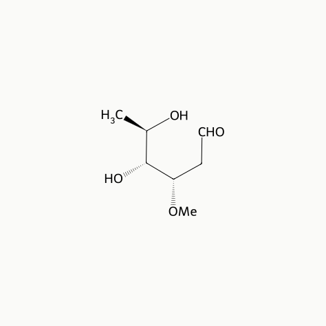 CO[C@@H](CC=O)[C@H](O)[C@@H](C)O